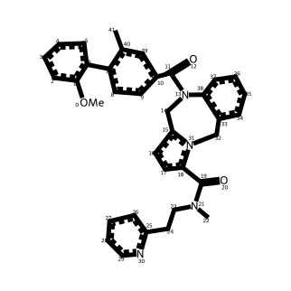 COc1ccccc1-c1ccc(C(=O)N2Cc3ccc(C(=O)N(C)CCc4ccccn4)n3Cc3ccccc32)cc1C